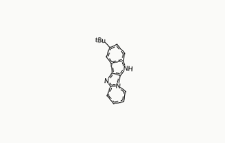 CC(C)(C)c1ccc2[nH]c3c(nc4ccccn43)c2c1